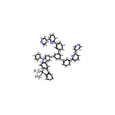 CC1(C)c2ccccc2-c2cc3c4cc(-c5cc(-c6cccc(-c7cccc(-c8ccncc8)n7)c6)cc(-c6cccc(-c7cccc(-c8ccncc8)n7)c6)c5)ccc4n(-c4ccccc4)c3cc21